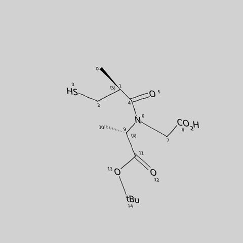 C[C@H](CS)C(=O)N(CC(=O)O)[C@@H](C)C(=O)OC(C)(C)C